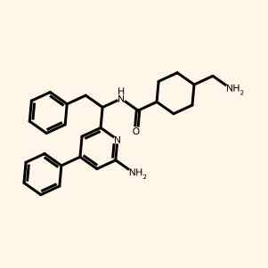 NCC1CCC(C(=O)NC(Cc2ccccc2)c2cc(-c3ccccc3)cc(N)n2)CC1